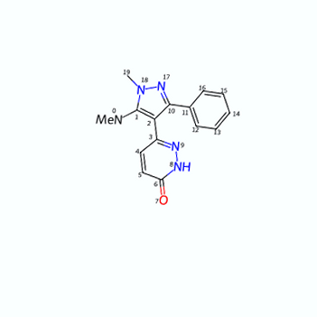 CNc1c(-c2ccc(=O)[nH]n2)c(-c2ccccc2)nn1C